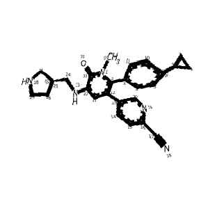 Cn1c(-c2ccc(C3CC3)cc2)c(-c2ccc(C#N)nc2)cc(NC[C@H]2CCNC2)c1=O